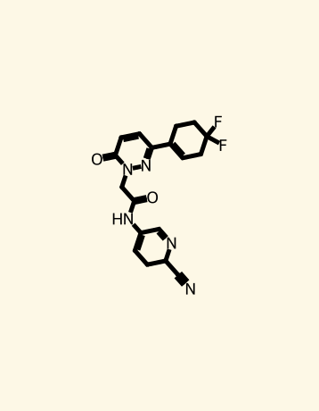 N#CC1CC=C(NC(=O)Cn2nc(C3=CCC(F)(F)CC3)ccc2=O)C=N1